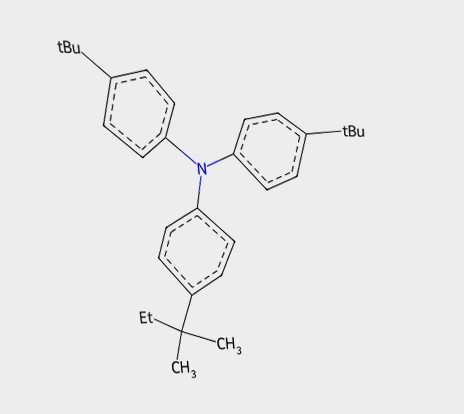 CCC(C)(C)c1ccc(N(c2ccc(C(C)(C)C)cc2)c2ccc(C(C)(C)C)cc2)cc1